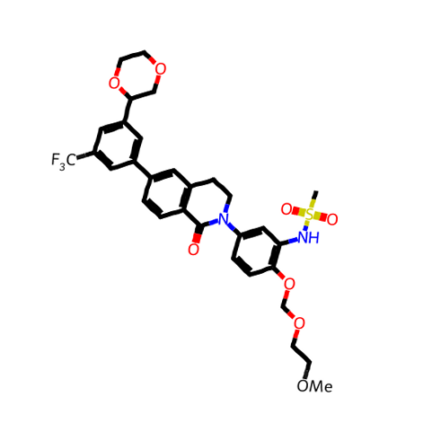 COCCOCOc1ccc(N2CCc3cc(-c4cc(C5COCCO5)cc(C(F)(F)F)c4)ccc3C2=O)cc1NS(C)(=O)=O